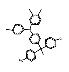 Cc1ccc(N(c2ccc(C(C)(c3ccc(O)cc3)c3ccc(O)cc3)cc2)c2ccc(C)c(C)c2)cc1